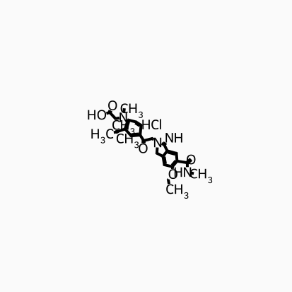 CCOc1cc2c(cc1C(=O)NC)C(=N)N(CC(=O)c1ccc(N(C)CC(=O)O)c(C(C)(C)C)c1)C2.Cl